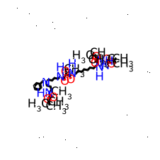 COC(C(=O)NCCCCCCCCN/C(=N/C(=O)OC(C)(C)C)NC(=O)OC(C)(C)C)C(=O)NCCCCN(CCC(C)NC(=O)OC(C)(C)C)Cc1ccccc1